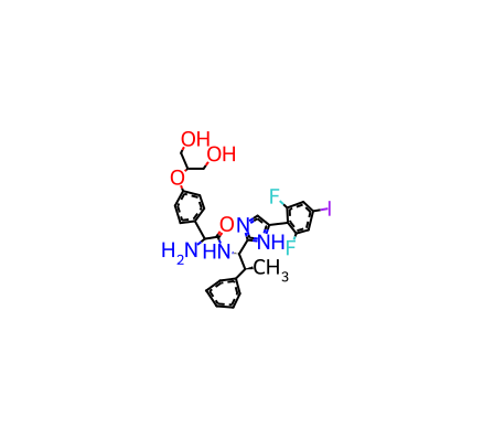 C[C@@H](c1ccccc1)[C@H](NC(=O)C(N)c1ccc(OC(CO)CO)cc1)c1ncc(-c2c(F)cc(I)cc2F)[nH]1